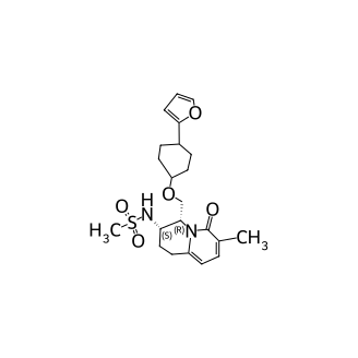 Cc1ccc2n(c1=O)[C@@H](COC1CCC(c3ccco3)CC1)[C@@H](NS(C)(=O)=O)CC2